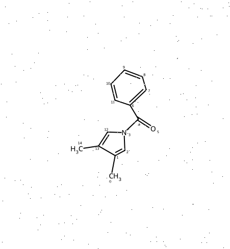 Cc1cn(C(=O)c2ccccc2)cc1C